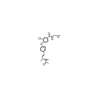 CC(=O)N[C@@H](C)/C=C/c1ccc(Oc2ccc(C(=O)NCC3CC3)cc2Cl)nc1